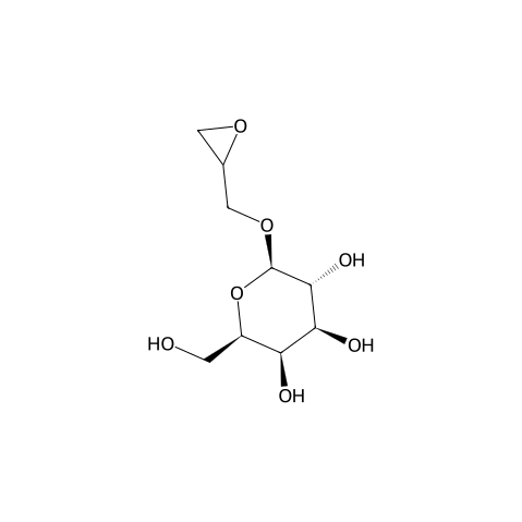 OC[C@H]1O[C@@H](OCC2CO2)[C@H](O)[C@@H](O)[C@H]1O